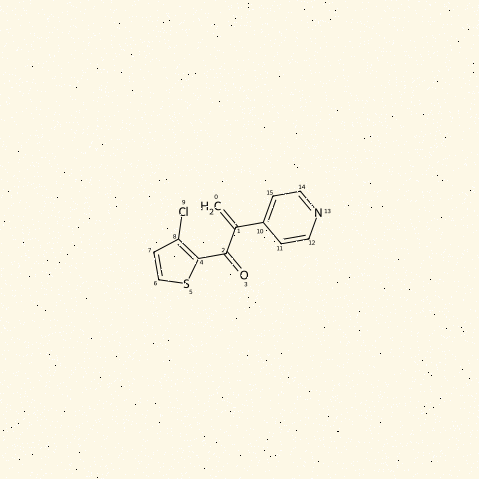 C=C(C(=O)c1sccc1Cl)c1ccncc1